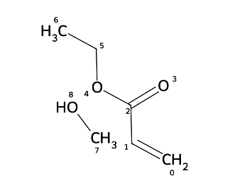 C=CC(=O)OCC.CO